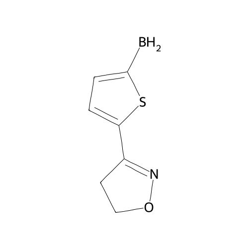 Bc1ccc(C2=NOCC2)s1